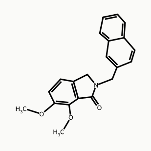 COc1ccc2c(c1OC)C(=O)N(Cc1ccc3ccccc3c1)C2